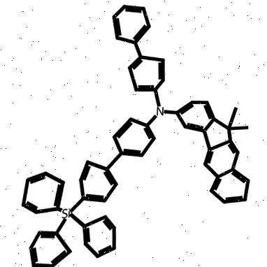 CC1(C)c2ccc(N(c3ccc(-c4ccccc4)cc3)c3ccc(-c4ccc([Si](c5ccccc5)(c5ccccc5)c5ccccc5)cc4)cc3)cc2-c2cc3ccccc3cc21